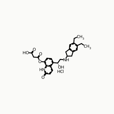 CCc1cc2c(cc1CC)CC(NC[C@H](O)c1ccc(OC(=O)CC(=O)O)c3[nH]c(=O)ccc13)C2.Cl